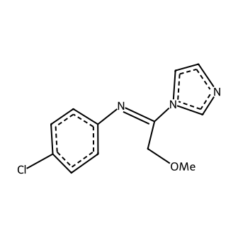 COC/C(=N\c1ccc(Cl)cc1)n1ccnc1